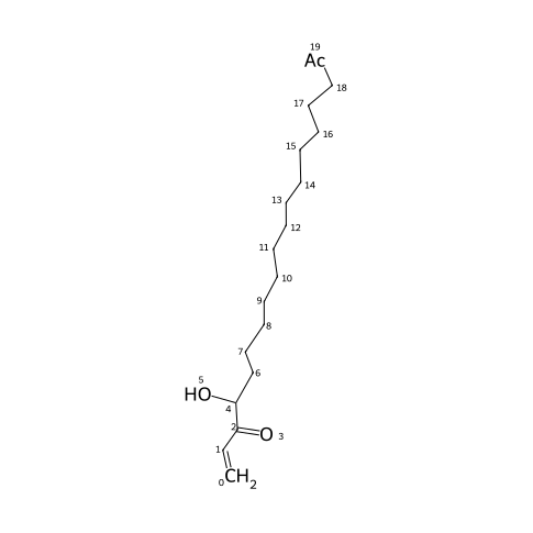 C=CC(=O)C(O)CCCCCCCCCCCCCC(C)=O